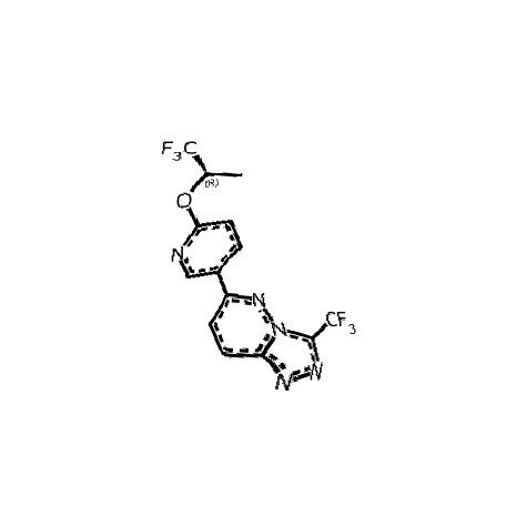 C[C@@H](Oc1ccc(-c2ccc3nnc(C(F)(F)F)n3n2)cn1)C(F)(F)F